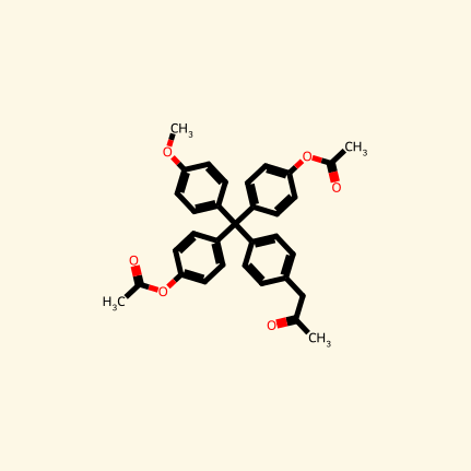 COc1ccc(C(c2ccc(CC(C)=O)cc2)(c2ccc(OC(C)=O)cc2)c2ccc(OC(C)=O)cc2)cc1